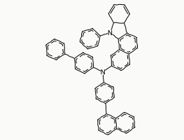 C1=CC2c3ccc4ccc(N(c5ccc(-c6ccccc6)cc5)c5ccc(-c6cccc7ccccc67)cc5)cc4c3N(c3ccccc3)C2C=C1